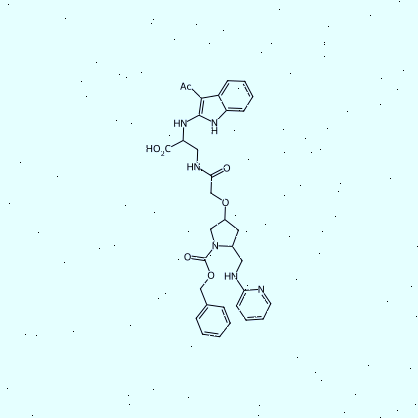 CC(=O)c1c(NC(CNC(=O)COC2CC(CNc3ccccn3)N(C(=O)OCc3ccccc3)C2)C(=O)O)[nH]c2ccccc12